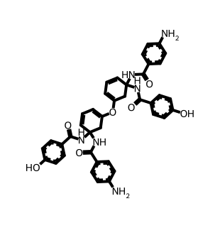 Nc1ccc(C(=O)NC2(NC(=O)c3ccc(O)cc3)C=CC=C(OC3=CC=CC(NC(=O)c4ccc(N)cc4)(NC(=O)c4ccc(O)cc4)C3)C2)cc1